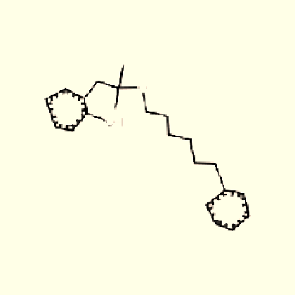 CC(C)(Cc1ccccc1O)OCCCCCCc1ccccc1